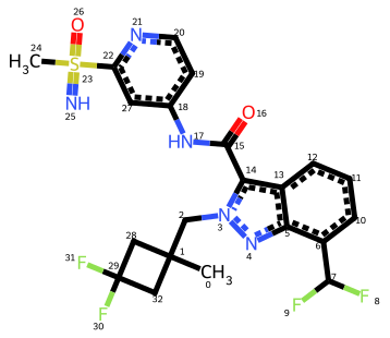 CC1(Cn2nc3c(C(F)F)cccc3c2C(=O)Nc2ccnc(S(C)(=N)=O)c2)CC(F)(F)C1